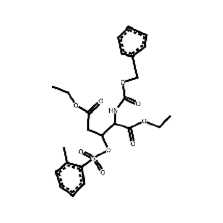 CCOC(=O)CC(OS(=O)(=O)c1ccccc1C)C(NC(=O)OCc1ccccc1)C(=O)OCC